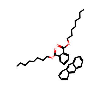 CCCCCCCCOC(=O)c1ccccc1C(=O)OCCCCCCCC.c1ccc2cc3ccccc3cc2c1